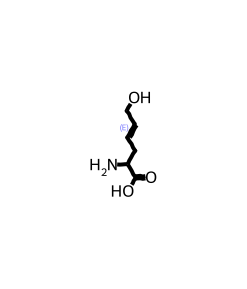 NC(C/C=C/CO)C(=O)O